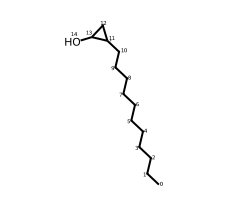 CCCCCCCCCCC[C]1CC1O